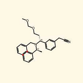 COCOCC[C@H](c1cccc(CC#N)c1)N(Cc1ccccc1)[C@@H](C)c1ccccc1